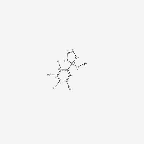 CC(C)O[Si](OC(C)C)(OC(C)C)c1cc(F)c(F)c(F)c1F